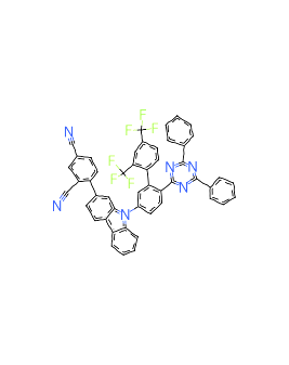 N#Cc1ccc(-c2ccc3c4ccccc4n(-c4ccc(-c5nc(-c6ccccc6)nc(-c6ccccc6)n5)c(-c5ccc(C(F)(F)F)cc5C(F)(F)F)c4)c3c2)c(C#N)c1